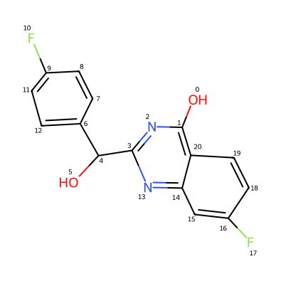 Oc1nc(C(O)c2ccc(F)cc2)nc2cc(F)ccc12